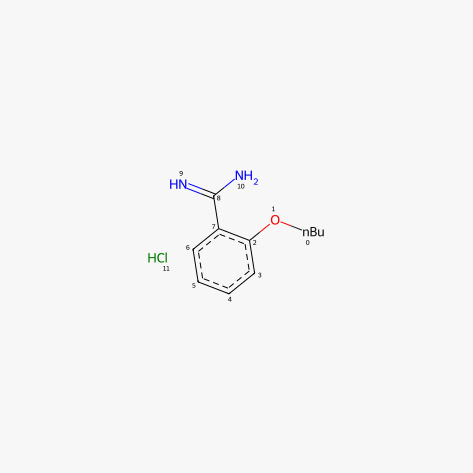 CCCCOc1ccccc1C(=N)N.Cl